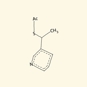 CC(=O)SC(C)c1cccnc1